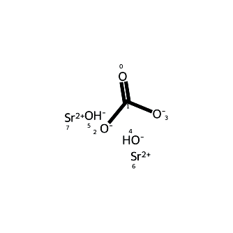 O=C([O-])[O-].[OH-].[OH-].[Sr+2].[Sr+2]